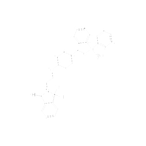 [2H]C1c2ccccc2C([2H])([2H])N1CCOC1CCC(CO[Si](c2ccccc2)(c2ccccc2)C(C)(C)C)CC1